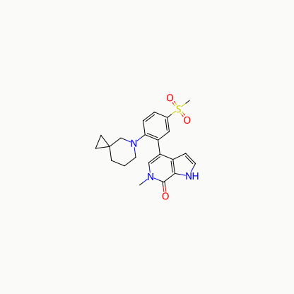 Cn1cc(-c2cc(S(C)(=O)=O)ccc2N2CCCC3(CC3)C2)c2cc[nH]c2c1=O